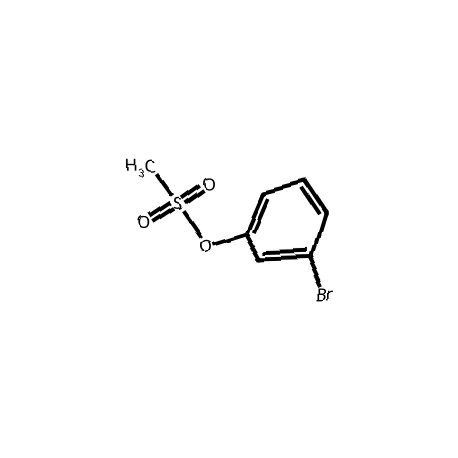 CS(=O)(=O)Oc1cccc(Br)c1